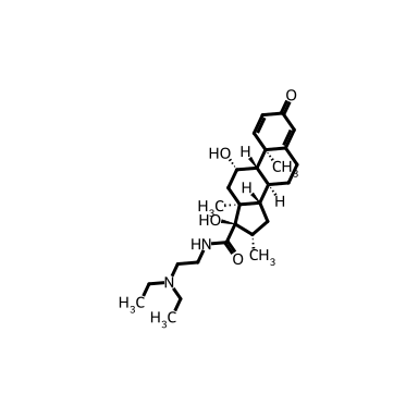 CCN(CC)CCNC(=O)[C@@]1(O)[C@@H](C)C[C@H]2[C@@H]3CCC4=CC(=O)C=C[C@]4(C)[C@H]3[C@@H](O)C[C@@]21C